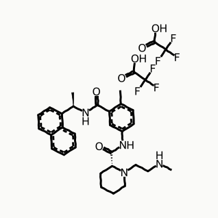 CNCCN1CCCC[C@@H]1C(=O)Nc1ccc(C)c(C(=O)N[C@H](C)c2cccc3ccccc23)c1.O=C(O)C(F)(F)F.O=C(O)C(F)(F)F